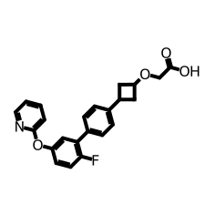 O=C(O)COC1CC(c2ccc(-c3cc(Oc4ccccn4)ccc3F)cc2)C1